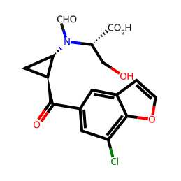 O=CN([C@@H](CO)C(=O)O)[C@H]1C[C@@H]1C(=O)c1cc(Cl)c2occc2c1